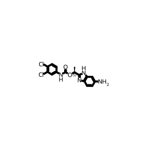 C[C@H](OC(=O)Nc1ccc(Cl)c(Cl)c1)c1nc2ccc(N)cc2[nH]1